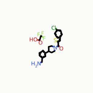 NCc1cccc(C2CCN(C(=O)c3cc4ccc(Cl)cc4s3)CC2)c1.O=C(O)C(F)(F)F